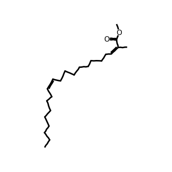 CCCCCCCC/C=C\CCCCCCCCC=C(C)C(=O)OC